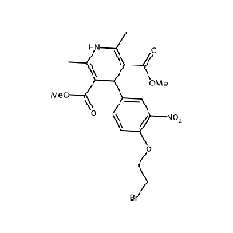 COC(=O)C1=C(C)NC(C)=C(C(=O)OC)C1c1ccc(OCCBr)c([N+](=O)[O-])c1